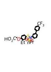 CCCS(=O)(=O)N(Sc1ccc(OCC(=O)O)c(CC)c1)c1cccc(-c2ccc(C(F)(F)F)cc2)c1